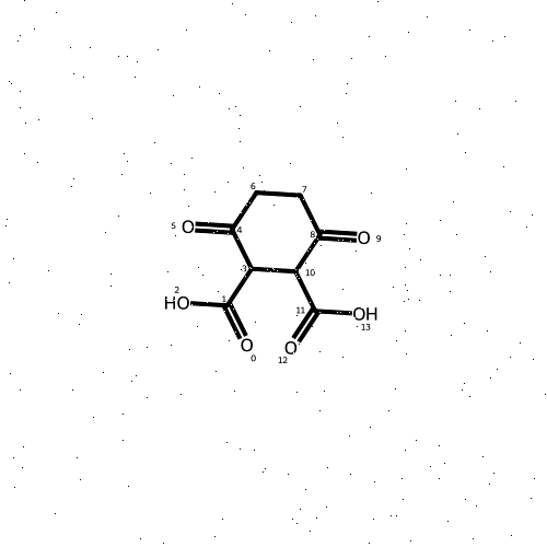 O=C(O)C1C(=O)CCC(=O)C1C(=O)O